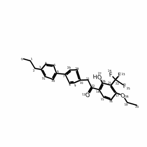 CCCc1ccc(-c2ccc(CC(=O)c3ccc(OCC)c(C(F)(F)F)c3O)cc2)cc1